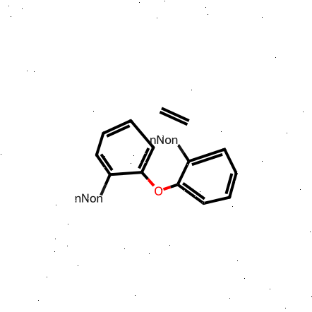 C=C.CCCCCCCCCc1ccccc1Oc1ccccc1CCCCCCCCC